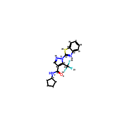 O=C(NC1CCCC1)c1cnn(-c2nc3ccccc3s2)c1C(F)(F)F